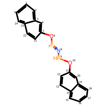 c1ccc2cc(OP=NPOc3ccc4ccccc4c3)ccc2c1